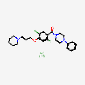 Cl.Cl.O=C(c1cc(F)c(OCCCN2CCCCC2)cc1F)N1CCN(c2ccccc2)CC1